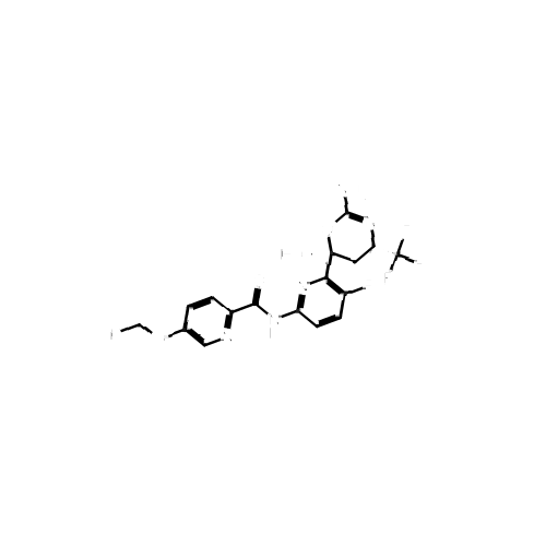 C[C@@]1(c2nc(NC(=O)c3ccc(OCF)cn3)ccc2F)C[C@@H](C(F)(F)F)N=C(N)O1